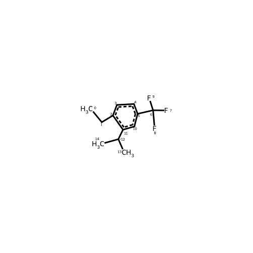 CCc1ccc(C(F)(F)F)cc1[C](C)C